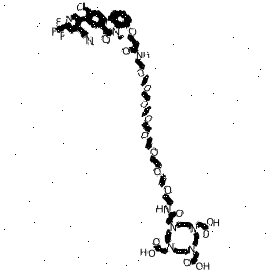 Cc1cccc(OCCC(=O)NCCOCCOCCOCCOCCOCCOCCOCCOCCNC(=O)CN2CCN(CC(=O)O)CCN(CC(=O)O)CCN(CC(=O)O)CC2)c1N(C)C(=O)c1ccc(Cl)c(-c2cnc(C(F)(F)F)cc2C#N)c1